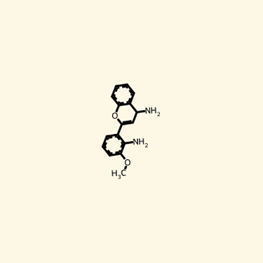 COc1cccc(C2=CC(N)c3ccccc3O2)c1N